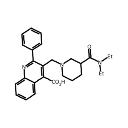 CCN(CC)C(=O)C1CCCN(Cc2c(-c3ccccc3)nc3ccccc3c2C(=O)O)C1